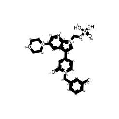 O=c1cc(-c2cn(COP(=O)(O)O)c3ncc(N4CCOCC4)cc23)ccn1Cc1cccc(Cl)c1